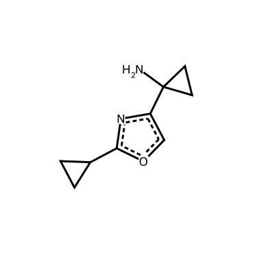 NC1(c2coc(C3CC3)n2)CC1